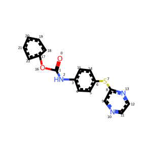 O=C(Nc1ccc(Sc2cnccn2)cc1)Oc1ccccc1